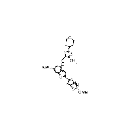 COc1cc(OCc2nc(C3CCOCC3)sc2C)c2cc(-c3cn4nc(OC)sc4n3)oc2c1